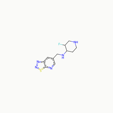 FC1CNCCC1NCc1cnc2snnc2c1